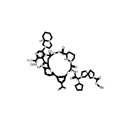 CCn1c(-c2cc(N3CCN4CCCC[C@@H]4C3)cnc2[C@H](C)OC)c2c3cc(ccc31)-c1cc(cc(C(F)F)c1)C[C@H](NC(=O)[C@H](C1CCCC1)N1CC[C@]3(CCN(C(=O)OC(C)(C)C)C3)C1)C(=O)N1CCC[C@H](N1)C(=O)OCC(C)(C)C2